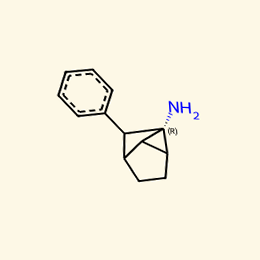 N[C@@]12C3CCC(C1c1ccccc1)C32